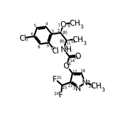 CO[C@H](c1ccc(Cl)cc1Cl)[C@@H](C)NC(=O)Oc1cn(C)nc1C(F)F